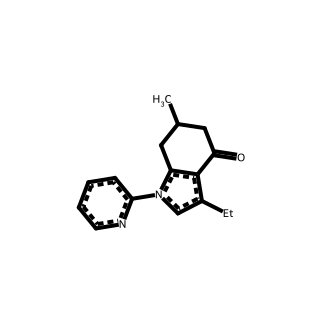 CCc1cn(-c2ccccn2)c2c1C(=O)CC(C)C2